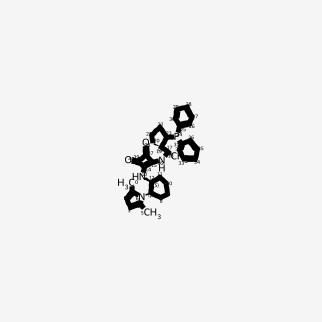 Cc1ccc(C)n1[C@H]1CCCC[C@@H]1Nc1c(N[C@H](C)[C@@H]2CCCC2P(c2ccccc2)c2ccccc2)c(=O)c1=O